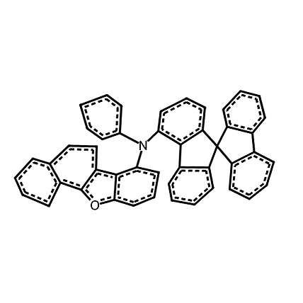 c1ccc(N(c2cccc3c2-c2ccccc2C32c3ccccc3-c3ccccc32)c2cccc3oc4c5ccccc5ccc4c23)cc1